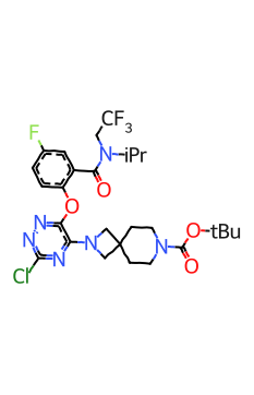 CC(C)N(CC(F)(F)F)C(=O)c1cc(F)ccc1Oc1nnc(Cl)nc1N1CC2(CCN(C(=O)OC(C)(C)C)CC2)C1